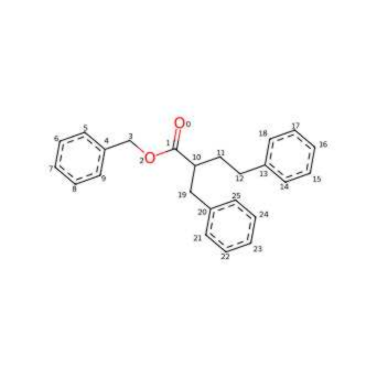 O=C(OCc1ccccc1)C(CCc1ccccc1)Cc1ccccc1